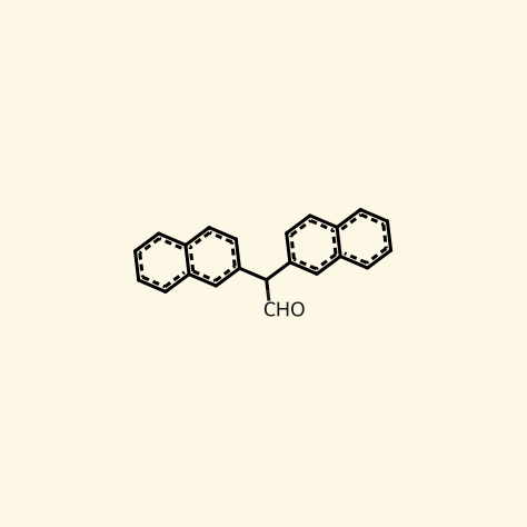 O=CC(c1ccc2ccccc2c1)c1ccc2ccccc2c1